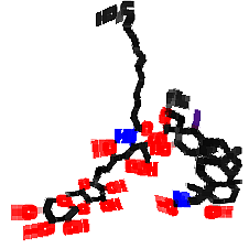 CC1O[C@@H](CCC(O)C(O)[C@@H](NC(=O)CCCCCCCCCCC(=O)O)C(CO)OOC(=O)[C@]2(CCC(C)(C)C)C(I)C3=CC4(C)CC5C6(C)CC[C@H](O)C(C)(/C=N/O)C6CCC54C3(C)C[C@@H]2O)C(O)C(O)[C@H]1O[C@@H]1OC[C@@H](O)C(O)C1O